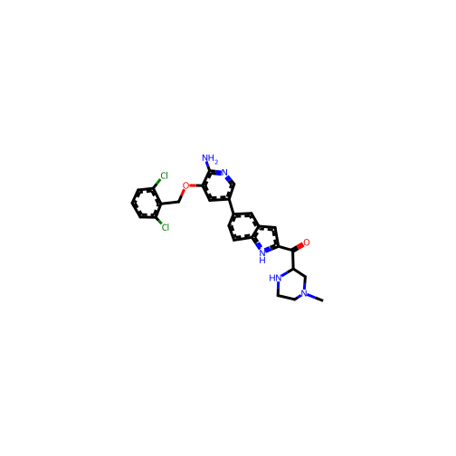 CN1CCNC(C(=O)c2cc3cc(-c4cnc(N)c(OCc5c(Cl)cccc5Cl)c4)ccc3[nH]2)C1